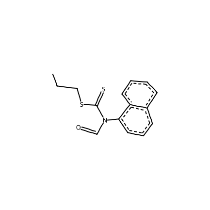 CCCSC(=S)N(C=O)c1cccc2ccccc12